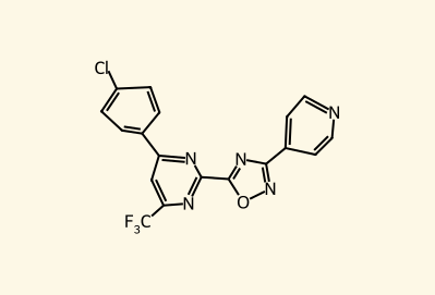 FC(F)(F)c1cc(-c2ccc(Cl)cc2)nc(-c2nc(-c3ccncc3)no2)n1